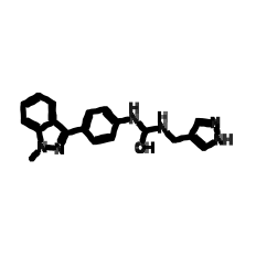 Cn1nc(-c2ccc(NC(O)NCc3cn[nH]c3)cc2)c2ccccc21